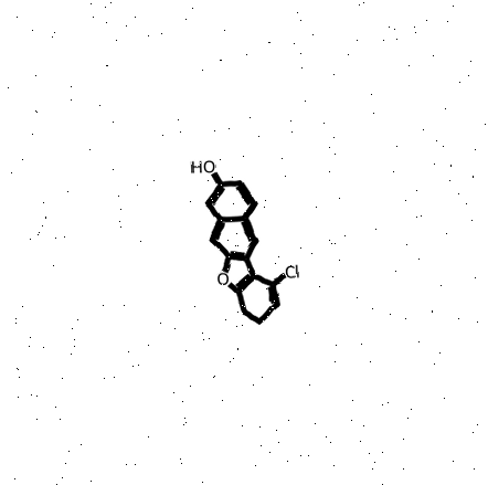 Oc1ccc2cc3c4c(oc3cc2c1)CCC=C4Cl